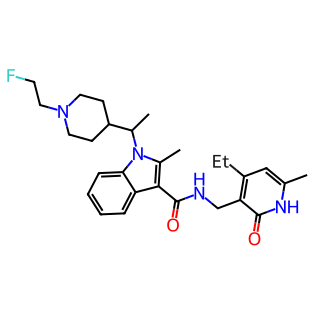 CCc1cc(C)[nH]c(=O)c1CNC(=O)c1c(C)n(C(C)C2CCN(CCF)CC2)c2ccccc12